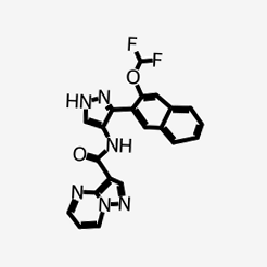 O=C(Nc1c[nH]nc1-c1cc2ccccc2cc1OC(F)F)c1cnn2cccnc12